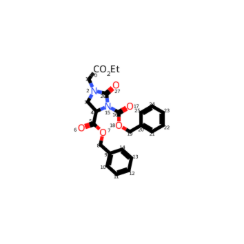 CCOC(=O)CN1CC(C(=O)OCc2ccccc2)N(C(=O)OCc2ccccc2)C1=O